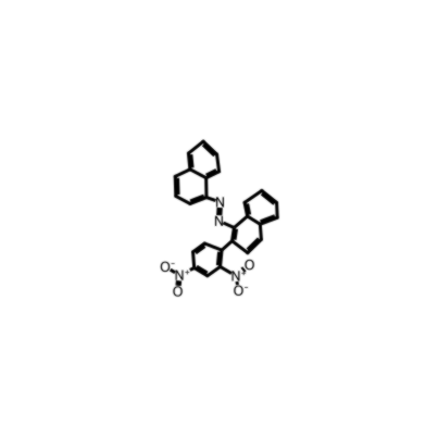 O=[N+]([O-])c1ccc(-c2ccc3ccccc3c2N=Nc2cccc3ccccc23)c([N+](=O)[O-])c1